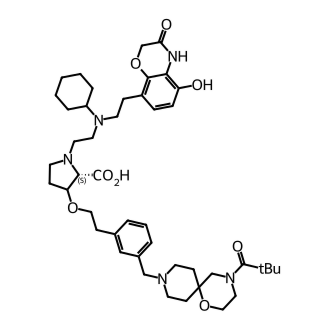 CC(C)(C)C(=O)N1CCOC2(CCN(Cc3cccc(CCOC4CCN(CCN(CCc5ccc(O)c6c5OCC(=O)N6)C5CCCCC5)[C@@H]4C(=O)O)c3)CC2)C1